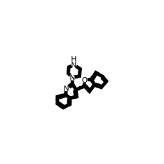 c1ccc2nc(N3CCNCC3)c(-c3cc4ccccc4o3)cc2c1